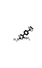 Nc1ncc(-c2ccc(-c3ncco3)cc2)c(N)n1